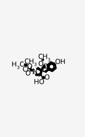 CCOC(=O)[C@@]1(Cc2ccc(O)cc2)CN(C(=O)OC(C)(C)C)C[C@@H]1C(=O)O